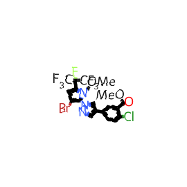 COCn1c(C(F)(C(F)(F)F)C(F)(F)F)cc(Br)c1-n1cc(-c2ccc(Cl)c(C(=O)OC)c2)cn1